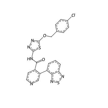 O=C(Nc1nnc(OCc2ccc(Cl)cc2)s1)c1ccncc1-c1cccc2nsnc12